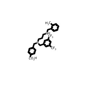 Cc1ccccc1CNCCCN(Cc1ccc(C(=O)O)cc1)Cc1cc(C(F)(F)F)cc(C(F)(F)F)c1